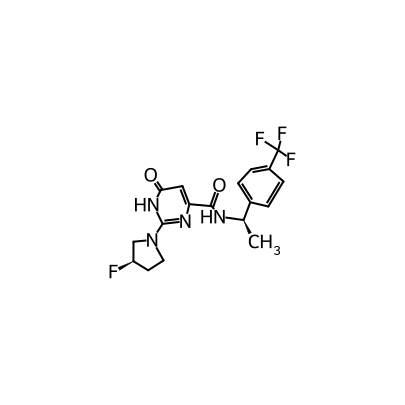 C[C@@H](NC(=O)c1cc(=O)[nH]c(N2CC[C@@H](F)C2)n1)c1ccc(C(F)(F)F)cc1